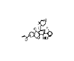 C=CC(=O)N1CCN2C(=O)c3c(OC4CCN(C)CC4(C)C)nc(-c4c(O)cccc4F)c(Cl)c3OCC2C1